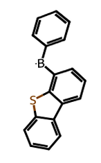 [B](c1ccccc1)c1cccc2c1sc1ccccc12